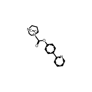 O=C(Oc1ccc(-c2ccccn2)cc1)N1CCN2CCC1CC2